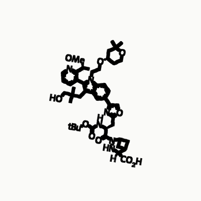 CO[C@@H](C)c1ncccc1-c1c(CC(C)(C)CO)c2cc(-c3coc(C[C@H](NC(=O)OC(C)(C)C)C(=O)N4N[C@H](C(=O)O)C5CC4C5)n3)ccc2n1CCO[C@H]1CCOC(C)(C)C1